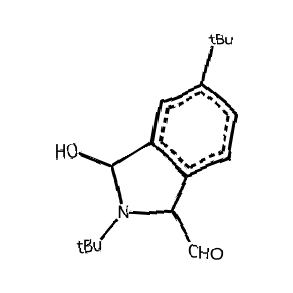 CC(C)(C)c1ccc2c(c1)C(O)N(C(C)(C)C)C2C=O